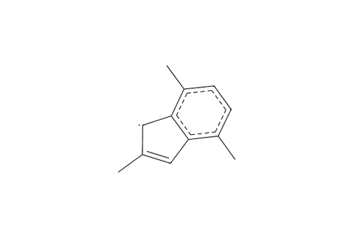 CC1=Cc2c(C)ccc(C)c2[CH]1